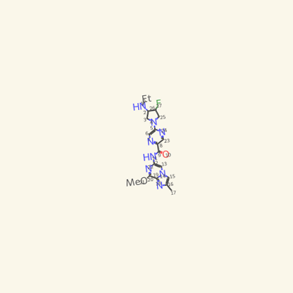 CCNC1CN(c2cnc(C(=O)Nc3cn4cc(C)nc4c(OC)n3)cn2)CC1F